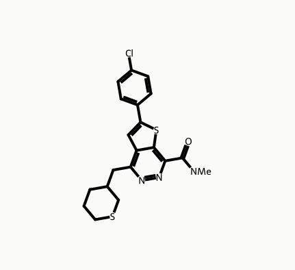 CNC(=O)c1nnc(CC2CCCSC2)c2cc(-c3ccc(Cl)cc3)sc12